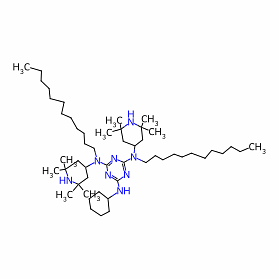 CCCCCCCCCCCCN(c1nc(NC2CCCCC2)nc(N(CCCCCCCCCCCC)C2CC(C)(C)NC(C)(C)C2)n1)C1CC(C)(C)NC(C)(C)C1